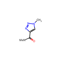 CNC(=O)c1cn(C)nn1